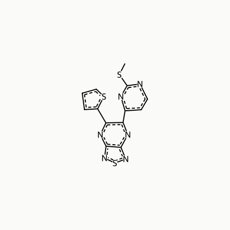 CSc1nccc(-c2nc3nsnc3nc2-c2cccs2)n1